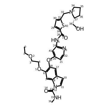 CCOCCOc1cc2c(ccn2C(=O)NC)cc1Oc1ccnc(NC(=O)c2ccc(CN3CCC[C@@H]3CO)s2)c1